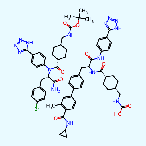 CC(C)(C)OC(=O)NC[C@H]1CC[C@H](C(=O)N(c2ccc(-c3nnn[nH]3)cc2)[C@@H](Cc2ccc(Br)cc2)C(N)=O)CC1.Cc1cc(-c2ccc(C[C@H](NC(=O)[C@H]3CC[C@H](CNC(=O)O)CC3)C(=O)Nc3ccc(-c4nnn[nH]4)cc3)cc2)ccc1C(=O)NC1CC1